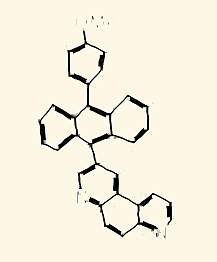 COc1ccc(-c2c3ccccc3c(-c3cnc4ccc5ncccc5c4c3)c3ccccc23)cc1